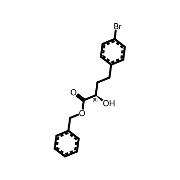 O=C(OCc1ccccc1)[C@H](O)CCc1ccc(Br)cc1